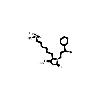 CP(=O)(O)CCCCCCC1C(=O)NC(=O)N1CCC(O)C1CCCCC1.[NaH]